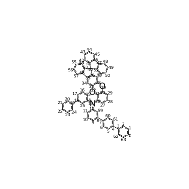 c1ccc(-c2ccc(-c3cccc(N(c4cccc(-c5ccccc5)c4)c4cccc5c4Oc4cc6c(cc4O5)C4(c5ccccc5-c5ccccc54)c4ccccc4-6)c3)cc2)cc1